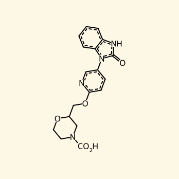 O=C(O)N1CCOC(COc2ccc(-n3c(=O)[nH]c4ccccc43)cn2)C1